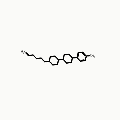 C=CCCCCC1CCC(C2CCC(c3ccc(C)cc3)CC2)CC1